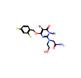 CC(C)n1c(N(CCO)CC(N)=O)nc(OCc2ccc(F)cc2F)c(Br)c1=O